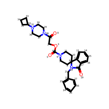 O=C(COC(=O)N1CCC2(CC1)c1ccccc1C(=O)N2Cc1ccccc1)N1CCN(C2CCC2)CC1